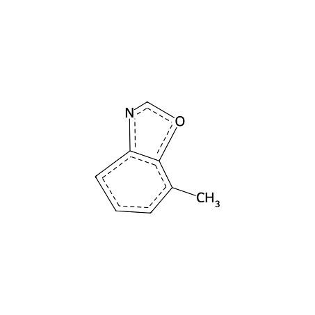 Cc1cccc2ncoc12